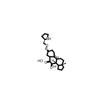 C[C@@]12CCC[C@H]1[C@@H]1C(=O)C(=O)C3CC(=NOC[C@H]4CCCN4)CC[C@]3(C)[C@@H]1CC2.Cl